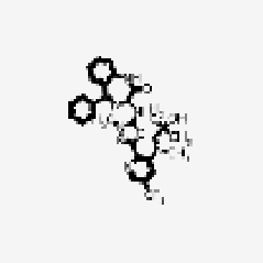 CN(CC(C)(C)O)c1cc(C(F)(F)F)cnc1C1=NN(C)C(N[C@H]2N=C(c3ccccc3)c3ccccc3NC2=O)O1